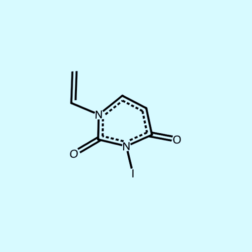 C=Cn1ccc(=O)n(I)c1=O